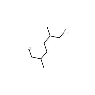 CC(CCl)CCC(C)CCl